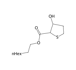 CCCCCCCCOC(=O)C1SCCC1O